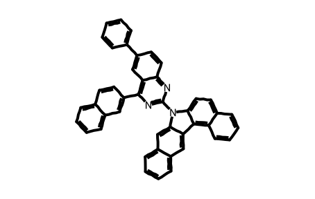 c1ccc(-c2ccc3nc(-n4c5cc6ccccc6cc5c5c6ccccc6ccc54)nc(-c4ccc5ccccc5c4)c3c2)cc1